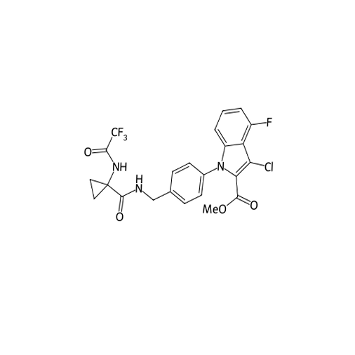 COC(=O)c1c(Cl)c2c(F)cccc2n1-c1ccc(CNC(=O)C2(NC(=O)C(F)(F)F)CC2)cc1